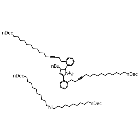 CCCCCCCCCCCCCCCCCCCCCC#CCCc1ccccc1C1=CC(CCCC)=C(c2ccccc2CCC#CCCCCCCCCCCCCCCCCCCCCC)[N+]1=[N-].CCCCCCCCCCCCCCCCCCC[CH2][Ni][CH2]CCCCCCCCCCCCCCCCCCC